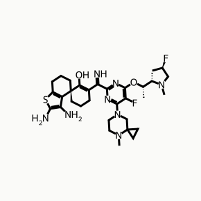 C[C@H](Oc1nc(C(=N)C2=C(O)[C@@]3(CCC2)CCCc2sc(N)c(N)c23)nc(N2CCN(C)C3(CC3)C2)c1F)[C@@H]1C[C@@H](F)CN1C